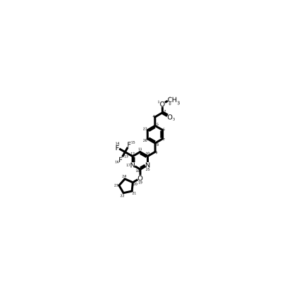 COC(=O)Cc1ccc(Cc2cc(C(F)(F)F)nc(OC3CCCC3)n2)cc1